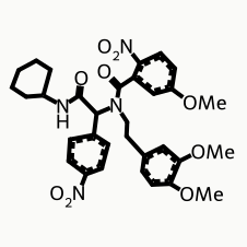 COc1ccc([N+](=O)[O-])c(C(=O)N(CCc2ccc(OC)c(OC)c2)C(C(=O)NC2CCCCC2)c2ccc([N+](=O)[O-])cc2)c1